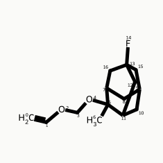 C=COCOC1(C)C2CC3CC1CC(F)(C3)C2